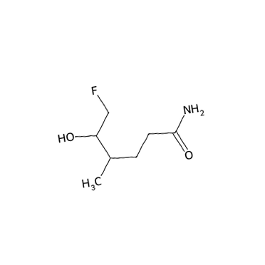 CC(CCC(N)=O)C(O)CF